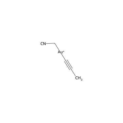 [C-]#[N+][CH2][Au+][C]#CC